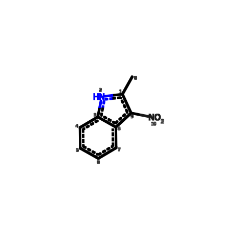 Cc1[nH]c2ccccc2c1[N+](=O)[O-]